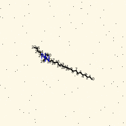 CCCCCCCCCCCCCCCCCCCN1C=CN(CCCCC)C1C